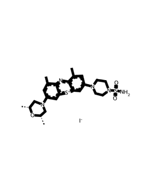 Cc1cc(N2CCN(S(N)(=O)=O)CC2)cc2[s+]c3cc(N4C[C@@H](C)O[C@@H](C)C4)cc(C)c3nc12.[I-]